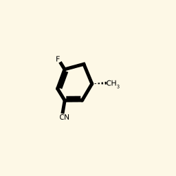 C[C@@H]1C=C(C#N)C=C(F)C1